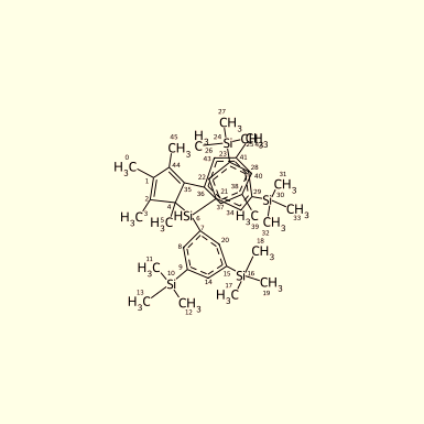 CC1=C(C)C(C)([SiH](c2cc([Si](C)(C)C)cc([Si](C)(C)C)c2)c2cc([Si](C)(C)C)cc([Si](C)(C)C)c2)C(c2cc(C)cc(C)c2)=C1C